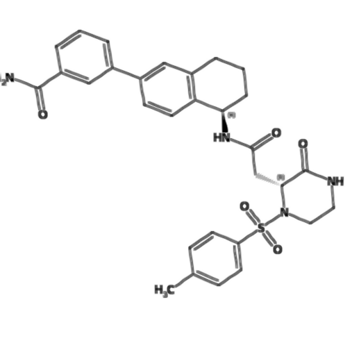 Cc1ccc(S(=O)(=O)N2CCNC(=O)[C@H]2CC(=O)N[C@@H]2CCCc3cc(-c4cccc(C(N)=O)c4)ccc32)cc1